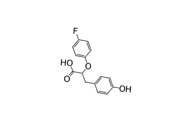 O=C(O)C(Cc1ccc(O)cc1)Oc1ccc(F)cc1